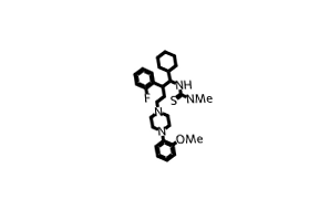 CNC(=S)NC(C1CCCCC1)C(CCN1CCN(c2ccccc2OC)CC1)c1ccccc1F